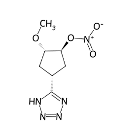 CO[C@H]1C[C@@H](c2nnn[nH]2)C[C@@H]1O[N+](=O)[O-]